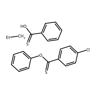 CCC.OC(=S)c1ccccc1.S=C(Oc1ccccc1)c1ccc(Cl)cc1